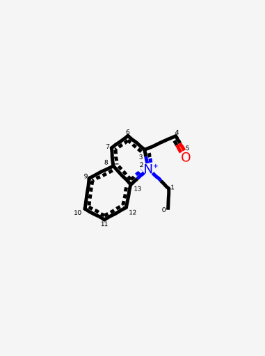 CC[n+]1c(C=O)ccc2ccccc21